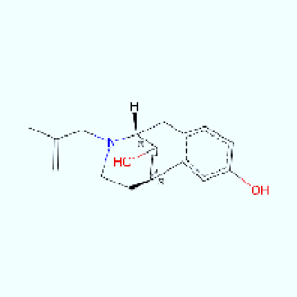 C=C(C)CN1CC[C@]23CCCCC2(O)[C@H]1Cc1ccc(O)cc13